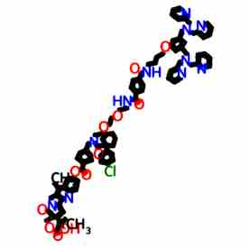 CCc1c2c(nc3ccc(OC(=O)c4ccc(CN(CCOCCOCCNC(=O)c5ccc(C(=O)NCCCCOc6cc(CN(Cc7ccccn7)Cc7ccccn7)cc(CN(Cc7ccccn7)Cc7ccccn7)c6)cc5)C(=O)C5(c6ccc(Cl)cc6)CCCCC5)cc4)cc13)-c1cc3c(c(=O)n1C2)COC(=O)[C@]3(O)CC